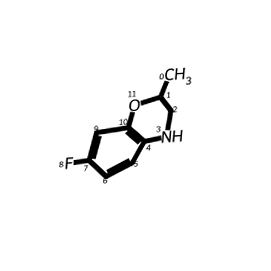 CC1CNc2ccc(F)cc2O1